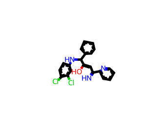 N=C(/C=C(\O)C(Nc1ccc(Cl)c(Cl)c1)c1ccccc1)c1ccccn1